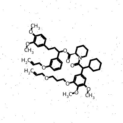 C=CCOCCCOc1cc(C(C(=O)N2CCCC[C@@H]2C(=O)OC(CCc2ccc(OC)c(OC)c2)c2cccc(OCC=C)c2)C2CCCCC2)cc(OC)c1OC